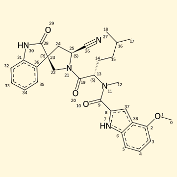 COc1cccc2[nH]c(C(=O)N(C)[C@@H](CCC(C)C)C(=O)N3C[C@]4(C[C@H]3C#N)C(=O)Nc3ccccc34)cc12